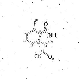 O=C(Cl)c1c[nH]c(=O)c2c(F)cccc12